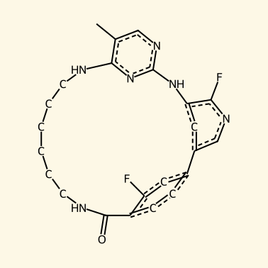 Cc1cnc2nc1NCCCCCCNC(=O)c1ccc(cc1F)-c1cnc(F)c(c1)N2